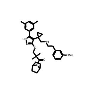 COc1cccc(CCNCC2(c3c(OCC(C)(C)C(=O)N4C5CCC4CC5)n[nH]c3-c3cc(C)cc(C)c3)CC2)c1